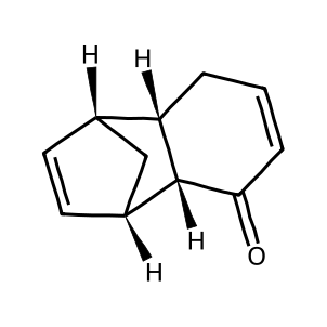 O=C1C=CC[C@@H]2[C@H]1[C@@H]1C=C[C@H]2C1